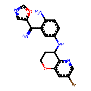 N=C(c1cnco1)c1cc(NC2CCOc3cc(Br)cnc32)ccc1N